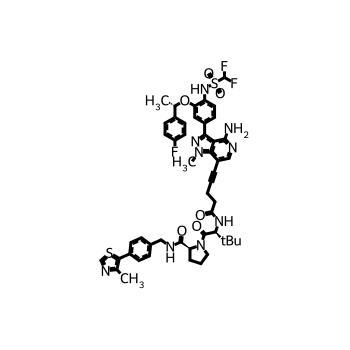 Cc1ncsc1-c1ccc(CNC(=O)[C@@H]2CCCN2C(=O)[C@@H](NC(=O)CCC#Cc2cnc(N)c3c(-c4ccc(NS(=O)(=O)C(F)F)c(O[C@@H](C)c5ccc(F)cc5)c4)nn(C)c23)C(C)(C)C)cc1